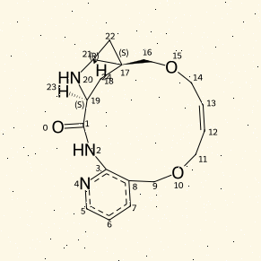 O=C1Nc2ncccc2COCC=CCOC[C@@]23C[C@@H]1N[C@@H]2C3